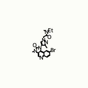 CCN(C)C(=O)Cn1cc(-n2c(=O)n(C)c3cnc4ccc(Br)cc4c32)c(C)n1